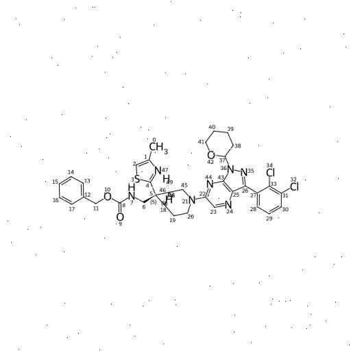 Cc1csc([C@@]2(CNC(=O)OCc3ccccc3)[C@@H]3CCN(c4cnc5c(-c6cccc(Cl)c6Cl)nn(C6CCCCO6)c5n4)C[C@@H]32)n1